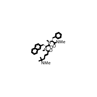 CNC(=O)[C@@H](Cc1ccccc1)N(C)C(=O)[C@@H](Cc1ccc2ccccc2c1)N(C)C(=O)/C=C/CC(C)(C)NC